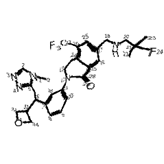 Cn1cnnc1C(c1cccc(N2Cc3c(cc(CNCC(C)(C)F)cc3C(F)(F)F)C2=O)c1)C1COC1